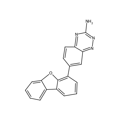 Nc1nnc2cc(-c3cccc4c3oc3ccccc34)ccc2n1